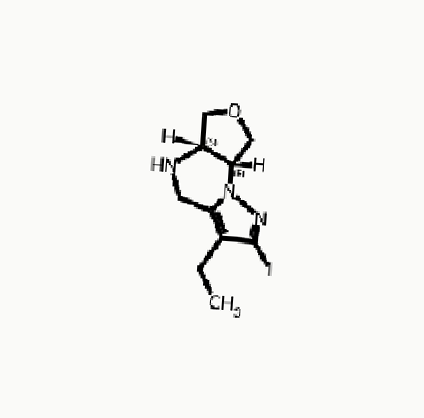 CCc1c(I)nn2c1CN[C@@H]1COC[C@@H]12